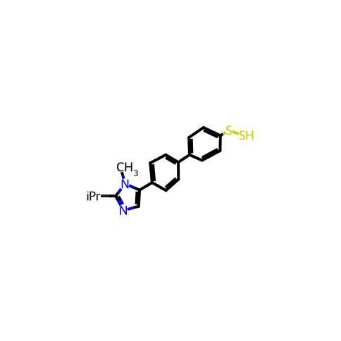 CC(C)c1ncc(-c2ccc(-c3ccc(SS)cc3)cc2)n1C